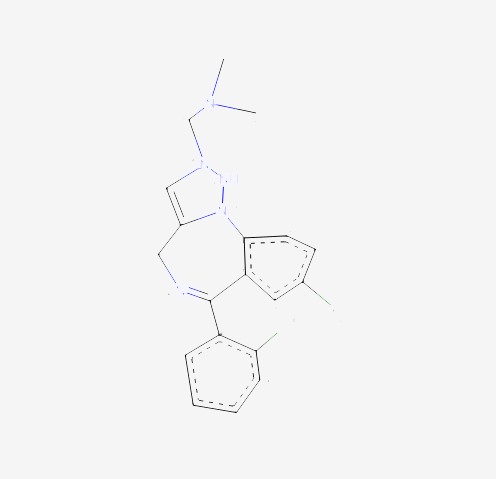 CN(C)CN1C=C2CN=C(c3ccccc3F)c3cc(Cl)ccc3N2N1